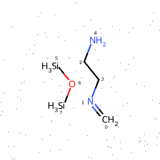 C=NCCN.[SiH3]O[SiH3]